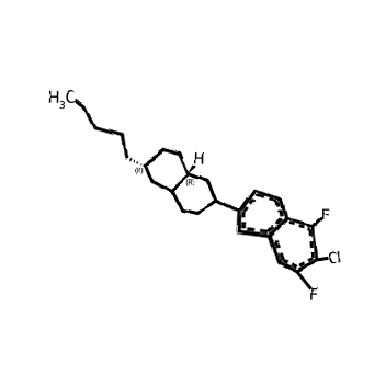 CCCCC[C@@H]1CC[C@@H]2CC(c3ccc4c(F)c(Cl)c(F)cc4c3)CCC2C1